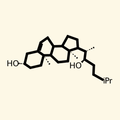 CC(C)CC[C@@H](O)[C@@H](C)C1CCC2C3CC=C4C[C@@H](O)CC[C@]4(C)C3CC[C@@]21C